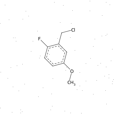 COc1ccc(F)c(CCl)c1